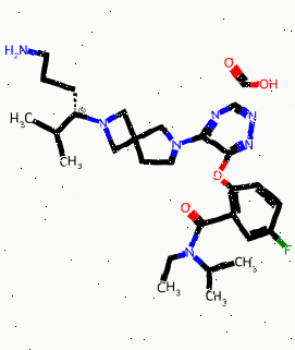 CCN(C(=O)c1cc(F)ccc1Oc1nncnc1N1CCC2(C1)CN([C@@H](CCCN)C(C)C)C2)C(C)C.O=CO